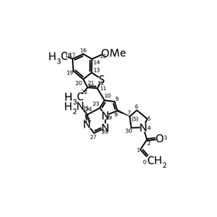 C=CC(=O)N1CC[C@H](c2cc(-c3sc4c(OC)cc(C)cc4c3C)c3c(N)ncnn23)C1